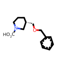 O=C(O)N1CCC[C@H](COCc2ccccc2)C1